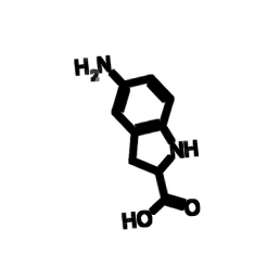 Nc1ccc2c(c1)CC(C(=O)O)N2